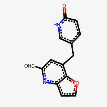 O=Cc1cc(Cc2ccc(=O)[nH]c2)c2occc2n1